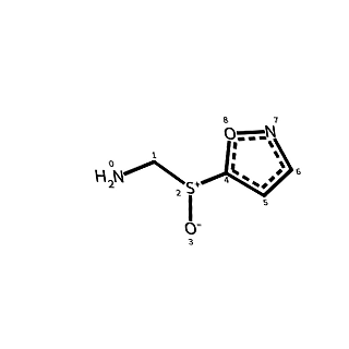 NC[S+]([O-])c1ccno1